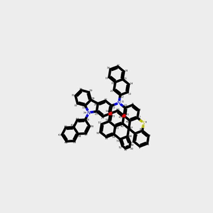 c1ccc2c(c1)Sc1ccc(N(c3ccc4ccccc4c3)c3ccc4c(c3)c3ccccc3n4-c3ccc4ccccc4c3)cc1C21c2ccccc2-c2cccc3cccc1c23